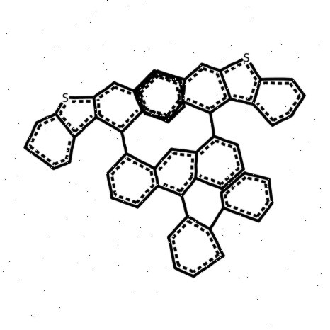 c1ccc(-c2ccccc2-c2c3cccc(-c4c5ccccc5cc5sc6ccccc6c45)c3cc3c(-c4c5ccccc5cc5sc6ccccc6c45)cccc23)cc1